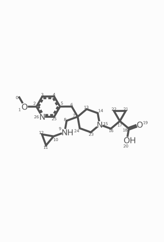 COc1ccc(CC2(CNC3CC3)CCN(CC3(C(=O)O)CC3)CC2)cn1